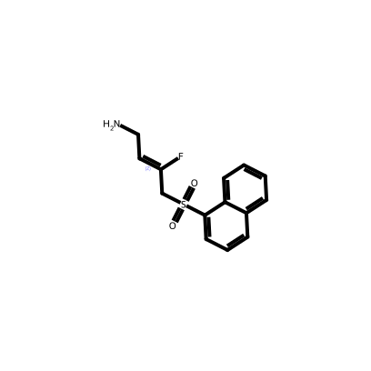 NC/C=C(\F)CS(=O)(=O)c1cccc2ccccc12